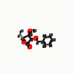 CC[C@H]1OC(=O)[C@H](OCc2ccccc2)[C@@H]1OC